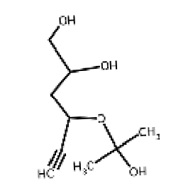 C#CC(CC(O)CO)OC(C)(C)O